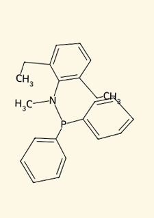 CCc1cccc(CC)c1N(C)P(c1ccccc1)c1ccccc1